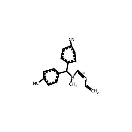 C=C/N=C\N(C)C(c1ccc(C#N)cc1)c1ccc(C#N)cc1